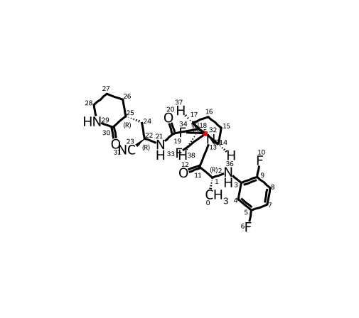 C[C@@H](Nc1cc(F)ccc1F)C(=O)N1[C@@H]2CC[C@H]([C@@H]1C(=O)N[C@@H](C#N)C[C@H]1CCCNC1=O)C(F)(F)C2